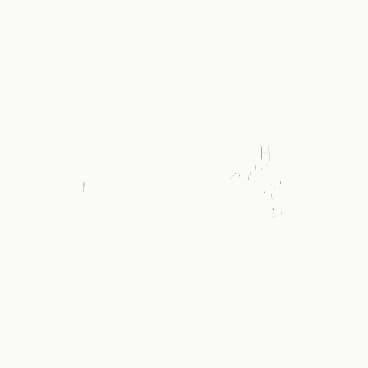 CCCCCCCCCCCCCCCCC=COC(=O)CC(C)C(=O)OC12CCCC1OOC2